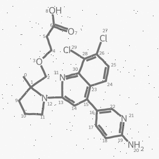 CC1(COCCC(=O)O)CCCN1c1cc(-c2ccc(N)nc2)c2ccc(Cl)c(Cl)c2n1